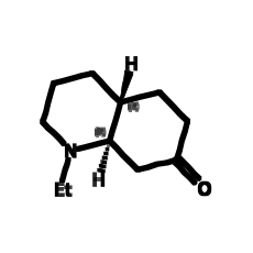 CCN1CCC[C@@H]2CCC(=O)C[C@H]21